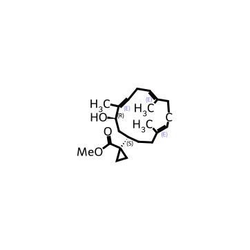 COC(=O)C1([C@H]2CC/C(C)=C/CC/C(C)=C/C/C=C(\C)[C@H](O)C2)CC1